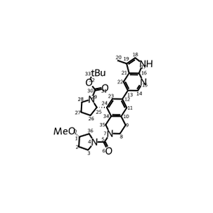 CO[C@H]1CCN(C(=O)N2CCc3cc(-c4cnc5[nH]cc(C)c5c4)cc([C@@H]4CCCN4C(=O)OC(C)(C)C)c3C2)C1